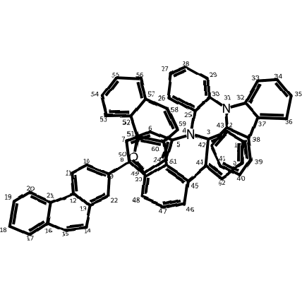 c1ccc(N(c2ccc(-c3ccc4c(ccc5ccccc54)c3)cc2)c2ccccc2-n2c3ccccc3c3ccccc32)c(-c2cccc3oc4c5ccccc5ccc4c23)c1